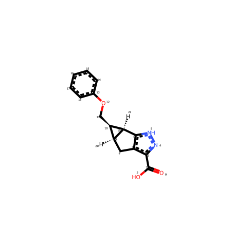 O=C(O)c1n[nH]c2c1C[C@H]1[C@@H](COc3ccccc3)[C@@H]21